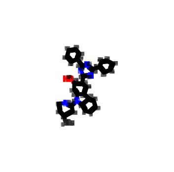 CC(C)(C)c1ccnc(-n2c3ccccc3c3cc(-c4nc(-c5ccccc5)nc(-c5ccccc5)n4)c(O)cc32)c1